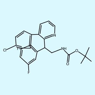 CC(C)(C)OC(=O)NCC(c1cc(F)cc(F)c1)c1ncccc1-c1ccc(Cl)cc1